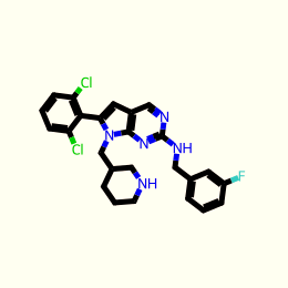 Fc1cccc(CNc2ncc3cc(-c4c(Cl)cccc4Cl)n(CC4CCCNC4)c3n2)c1